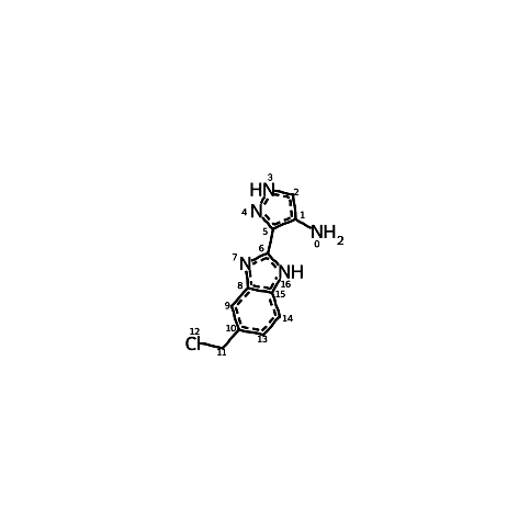 Nc1c[nH]nc1-c1nc2cc(CCl)ccc2[nH]1